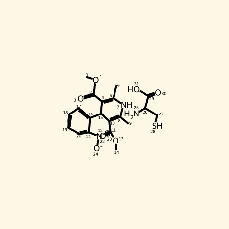 COC(=O)C1=C(C)NC(C)=C(C(=O)OC)C1c1ccccc1[N+](=O)[O-].NC(CS)C(=O)O